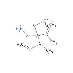 C=CC(C)C(CC)(CN)C(=C)C